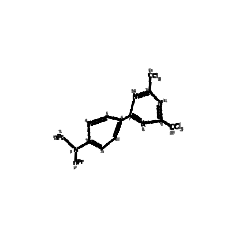 CCCN(CCC)c1ccc(-c2nc(C(Cl)(Cl)Cl)nc(C(Cl)(Cl)Cl)n2)cc1